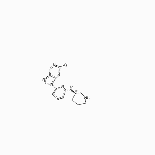 Clc1cc2c(cn1)ncn2-c1cncc(N[C@@H]2CCCNC2)n1